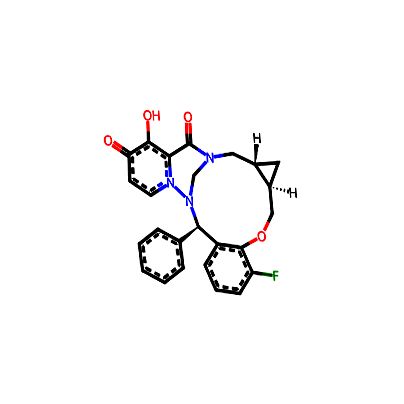 O=C1c2c(O)c(=O)ccn2N2CN1C[C@@H]1C[C@H]1COc1c(F)cccc1[C@H]2c1ccccc1